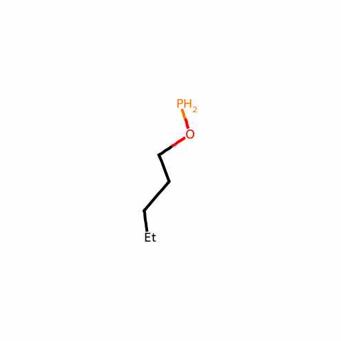 CCCCCOP